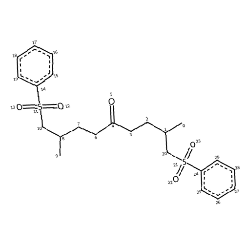 CC(CCC(=O)CCC(C)CS(=O)(=O)c1ccccc1)CS(=O)(=O)c1ccccc1